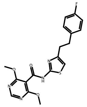 COc1ncnc(OC)c1C(=O)Nc1nc(CCc2ccc(F)cc2)cs1